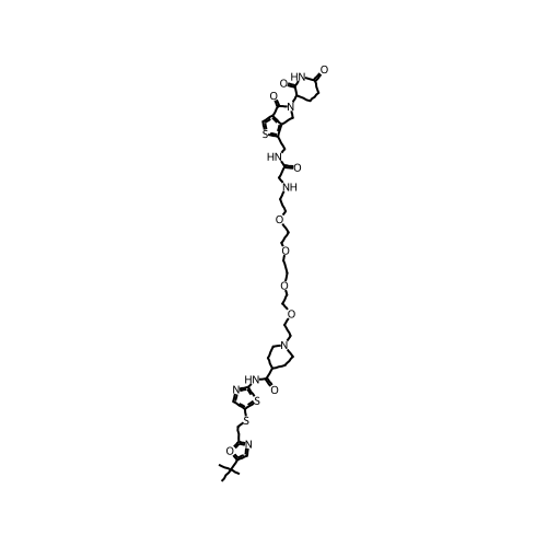 CC(C)(C)c1cnc(CSc2cnc(NC(=O)C3CCN(CCOCCOCCOCCOCCNCC(=O)NCc4scc5c4CN(C4CCC(=O)NC4=O)C5=O)CC3)s2)o1